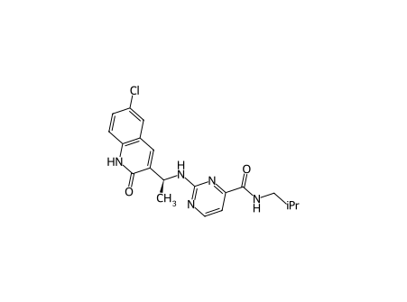 CC(C)CNC(=O)c1ccnc(N[C@@H](C)c2cc3cc(Cl)ccc3[nH]c2=O)n1